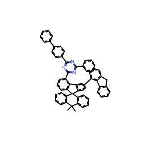 CC1(C)c2ccccc2C2(c3ccc(-c4cccc5c4-c4ccccc4C5)cc3-c3c(-c4nc(-c5ccccc5)nc(-c5ccc(-c6ccccc6)cc5)n4)cccc32)c2ccccc21